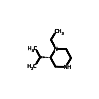 CCN1CCNC[C@@H]1C(C)C